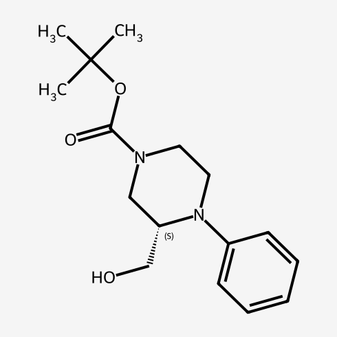 CC(C)(C)OC(=O)N1CCN(c2ccccc2)[C@H](CO)C1